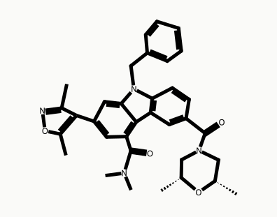 Cc1noc(C)c1-c1cc(C(=O)N(C)C)c2c3cc(C(=O)N4C[C@@H](C)O[C@@H](C)C4)ccc3n(Cc3ccccc3)c2c1